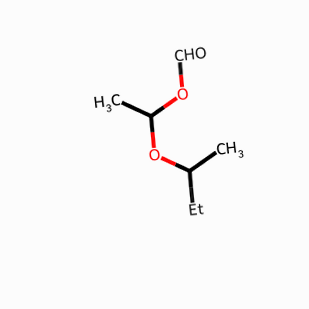 CCC(C)OC(C)OC=O